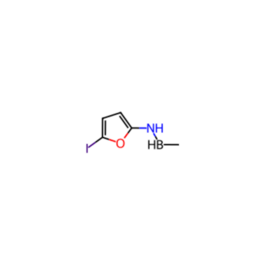 CBNc1ccc(I)o1